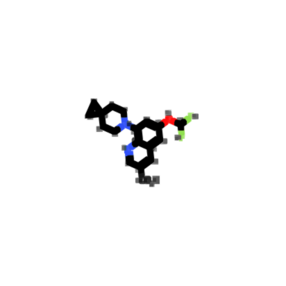 O=C(O)c1cnc2c(N3CCC4(CC3)CC4)cc(OC(F)F)cc2c1